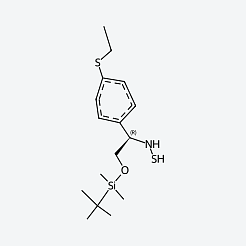 CCSc1ccc([C@H](CO[Si](C)(C)C(C)(C)C)NS)cc1